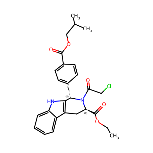 CCOC(=O)[C@H]1Cc2c([nH]c3ccccc23)[C@H](c2ccc(C(=O)OCC(C)C)cc2)N1C(=O)CCl